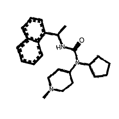 CC(NC(=O)N(C1CCCC1)C1CCN(C)CC1)c1cccc2ccccc12